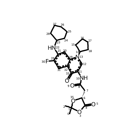 CC1(C)OC(=O)[C@@H](CC(=O)Nc2cn(C3CCCC3)c3cc(NC4CCCCC4)c(F)cc3c2=O)O1